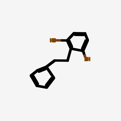 Sc1cccc(S)c1CCc1ccccc1